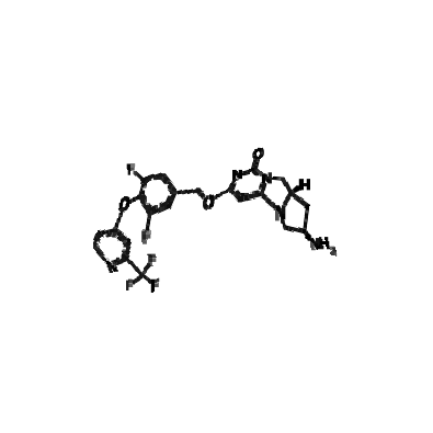 N[C@@H]1C[C@H]2Cn3c(cc(OCc4cc(F)c(Oc5ccnc(C(F)(F)F)c5)c(F)c4)nc3=O)N2C1